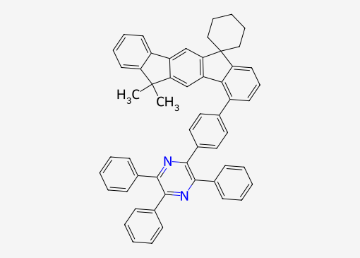 CC1(C)c2ccccc2-c2cc3c(cc21)-c1c(-c2ccc(-c4nc(-c5ccccc5)c(-c5ccccc5)nc4-c4ccccc4)cc2)cccc1C31CCCCC1